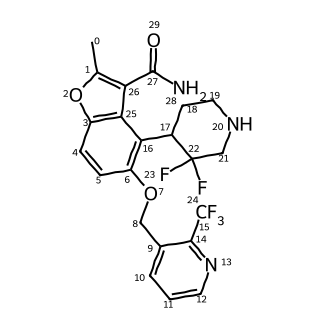 Cc1oc2ccc(OCc3cccnc3C(F)(F)F)c(C3CCNCC3(F)F)c2c1C(N)=O